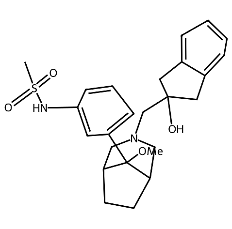 COC1(c2cccc(NS(C)(=O)=O)c2)C2CCC1CN(CC1(O)Cc3ccccc3C1)C2